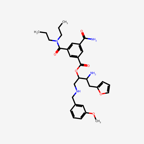 CCCN(CCC)C(=O)c1cc(C(N)=O)cc(C(=O)OC(CNCc2cccc(OC)c2)C(N)Cc2ccco2)c1